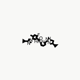 Cc1cc(F)c(C(=O)Nc2cccc(-c3nnc4n3CC(C3CC3)C4)n2)cc1-n1cnc(C2CC2)c1